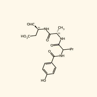 CC(C)C(NC(=O)c1ccc(O)cc1)C(=O)N[C@@H](C)C(=O)N[C@H](C=O)CC(=O)O